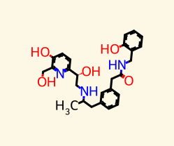 CC(Cc1cccc(CC(=O)NCc2ccccc2O)c1)NC[C@@H](O)c1ccc(O)c(CO)n1